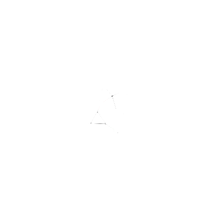 CC(C)(C)OC1CC1F